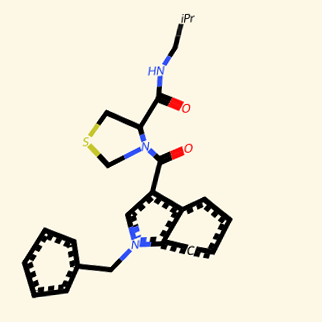 CC(C)CNC(=O)C1CSCN1C(=O)c1cn(Cc2ccccc2)c2ccccc12